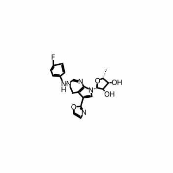 C[C@H]1O[C@@H](n2cc(-c3ncco3)c3c2N=CN(Nc2ccc(F)cc2)C3)[C@H](O)[C@@H]1O